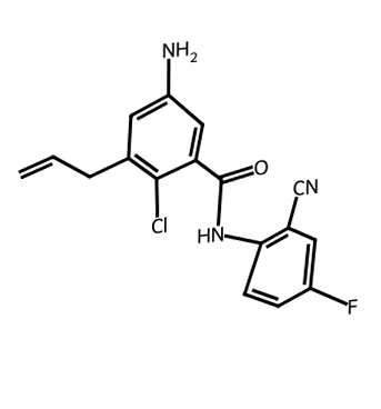 C=CCc1cc(N)cc(C(=O)Nc2ccc(F)cc2C#N)c1Cl